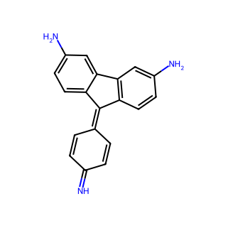 N=C1C=CC(=C2c3ccc(N)cc3-c3cc(N)ccc32)C=C1